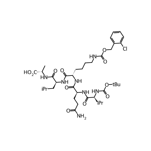 CC(C)C[C@H](NC(=O)[C@H](CCCCNC(=O)OCc1ccccc1Cl)NC(=O)[C@H](CCC(N)=O)NC(=O)[C@@H](NC(=O)OC(C)(C)C)C(C)C)C(=O)N[C@@H](C)C(=O)O